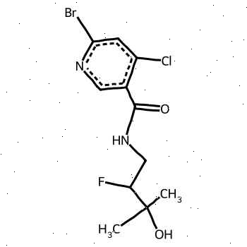 CC(C)(O)C(F)CNC(=O)c1cnc(Br)cc1Cl